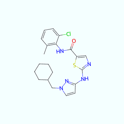 Cc1cccc(Cl)c1NC(=O)c1cnc(Nc2ccn(CC3CCCCC3)n2)s1